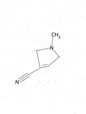 CN1[CH]C(C#N)=CC1